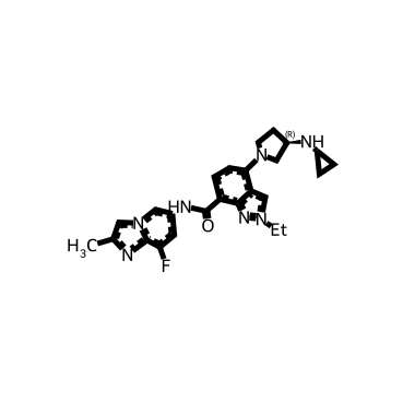 CCn1cc2c(N3CC[C@@H](NC4CC4)C3)ccc(C(=O)Nc3cc(F)c4nc(C)cn4c3)c2n1